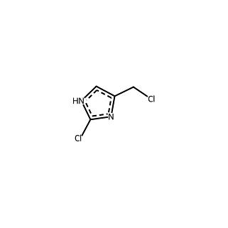 ClCc1c[nH]c(Cl)n1